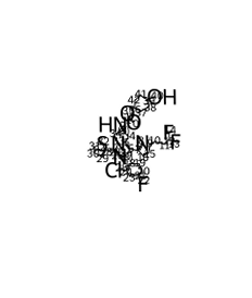 O=C(N[C@H]1CC2=C(C3=NC(CCC(F)F)C=C3)[C@H](c3ccc(F)cc3Cl)N=C(c3cccs3)N2C1)O[C@H]1CC[C@H](O)CC1